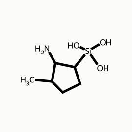 CC1CCC([Si](O)(O)O)C1N